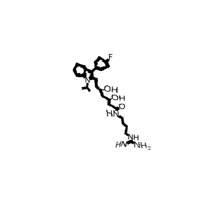 CC(C)n1c(/C=C/[C@H](O)C[C@H](O)CC(=O)NCCCCNC(=N)N)c(-c2ccc(F)cc2)c2ccccc21